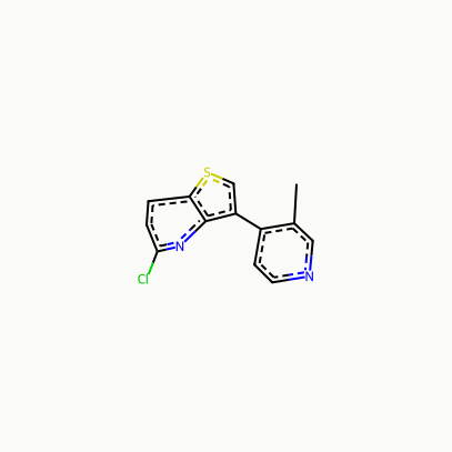 Cc1cnccc1-c1csc2ccc(Cl)nc12